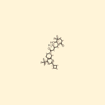 NC(CC(=O)N1CCc2c(nc(C3CCC3)nc2C(F)(F)F)C1)CN1C(=O)CCC(F)(F)C1O